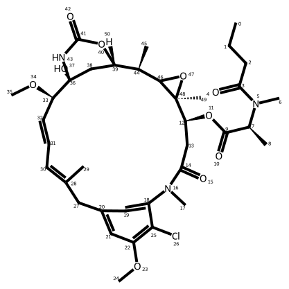 CCCC(=O)N(C)[C@@H](C)C(=O)O[C@H]1CC(=O)N(C)c2cc(cc(OC)c2Cl)C/C(C)=C/C=C/[C@@H](OC)[C@@]2(O)C[C@H](OC(=O)N2)[C@@H](C)C2O[C@]21C